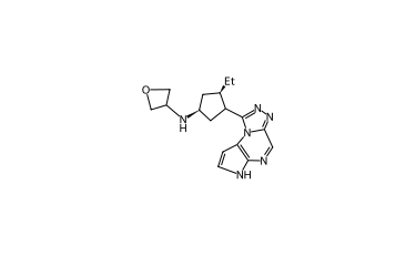 CC[C@@H]1C[C@H](NC2COC2)CC1c1nnc2cnc3[nH]ccc3n12